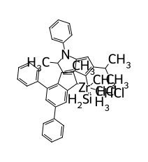 CC1=Cc2c(-c3ccccc3)cc(-c3ccccc3)cc2[CH]1[Zr]([CH3])([CH3])(=[SiH2])[C]1=C(C(C)C)C=C2C1=CC(C)N2c1ccccc1.Cl.Cl